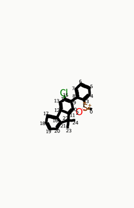 C[S+]([O-])c1ccccc1-c1cc2c(cc1Cl)-c1ccccc1C2(C)C